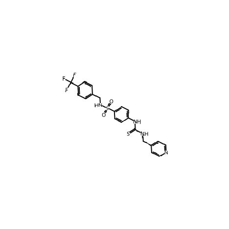 O=S(=O)(NCc1ccc(C(F)(F)F)cc1)c1ccc(NC(=S)NCc2ccncc2)cc1